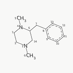 CN1CCN(C)C(Cc2ccccc2)C1